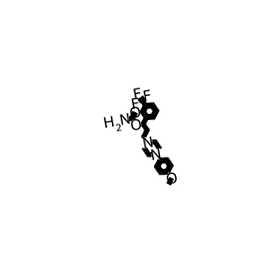 COc1ccc(N2CCN(CCC(OC(N)=O)c3cccc(C(F)(F)F)c3)CC2)cc1